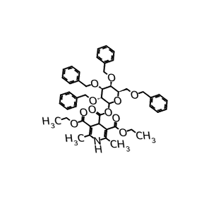 CCOC(=O)C1=C(C)NC(C)=C(C(=O)OCC)C1C(=O)OC1O[C@H](COCc2ccccc2)[C@H](OCc2ccccc2)[C@H](OCc2ccccc2)[C@H]1OCc1ccccc1